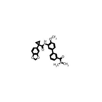 CN(C)C(=O)c1cccc(-c2ccc(OC(F)(F)F)c(NC(=O)C3(c4ccc5c(c4)OCO5)CC3)c2)c1